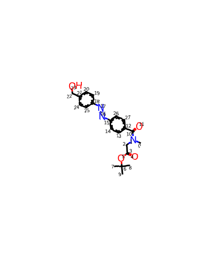 CN(CC(=O)OC(C)(C)C)C(=O)c1ccc(N=Nc2ccc(CO)cc2)cc1